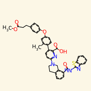 COC(=O)CCc1ccc(Oc2ccc(-c3ccc(N4CCc5cccc(C(=O)Nc6nc7ccccc7s6)c5C4)nc3C(=O)O)c(C)c2)cc1